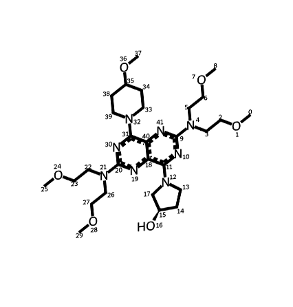 COCCN(CCOC)c1nc(N2CC[C@@H](O)C2)c2nc(N(CCOC)CCOC)nc(N3CCC(OC)CC3)c2n1